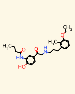 CCCC(=O)Nc1cc(C(=O)CNCCCc2cccc(OCC)c2C)ccc1O